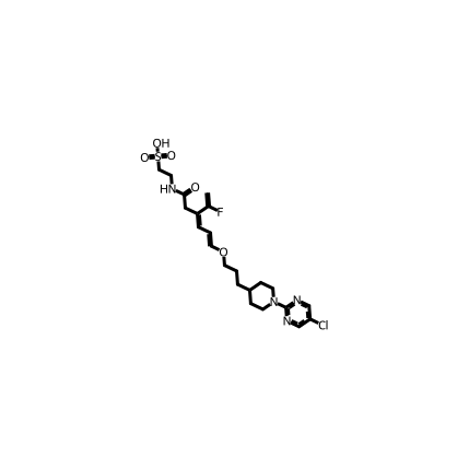 C=C(F)/C(=C\C=C\OCCCC1CCN(c2ncc(Cl)cn2)CC1)CC(=O)NCCS(=O)(=O)O